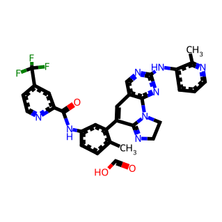 Cc1ccc(NC(=O)c2cc(C(F)(F)F)ccn2)cc1C1=Cc2cnc(Nc3cccnc3C)nc2N2CCN=C12.O=CO